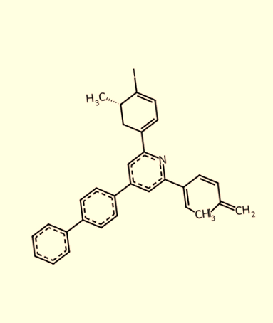 C=C(I)/C=C\C(=C/C)c1cc(-c2ccc(-c3ccccc3)cc2)cc(C2=CC=C(I)[C@@H](C)C2)n1